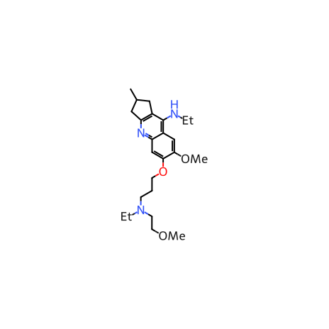 CCNc1c2c(nc3cc(OCCCN(CC)CCOC)c(OC)cc13)CC(C)C2